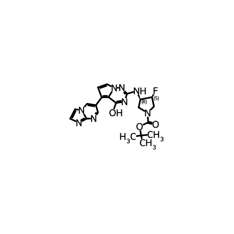 CC(C)(C)OC(=O)N1C[C@H](F)[C@H](Nc2nc(O)c3c(-c4cnc5nccn5c4)ccn3n2)C1